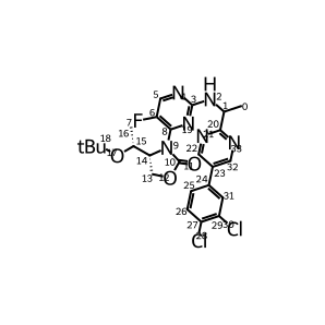 CC(Nc1ncc(F)c(N2C(=O)OC[C@@H]2[C@@H](C)OC(C)(C)C)n1)c1ncc(-c2ccc(Cl)c(Cl)c2)cn1